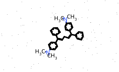 CN(C)c1ccc(C(=CCC=C(c2ccccc2)c2ccc(N(C)C)cc2)c2ccccc2)cc1